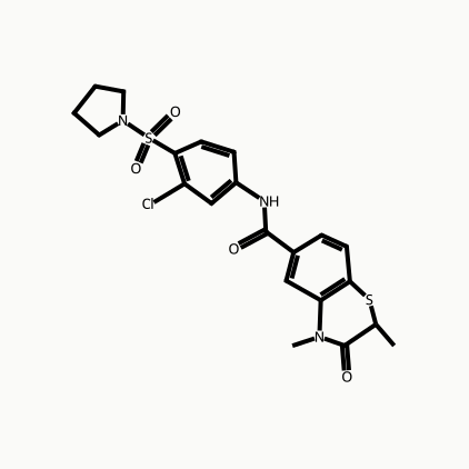 CC1Sc2ccc(C(=O)Nc3ccc(S(=O)(=O)N4CCCC4)c(Cl)c3)cc2N(C)C1=O